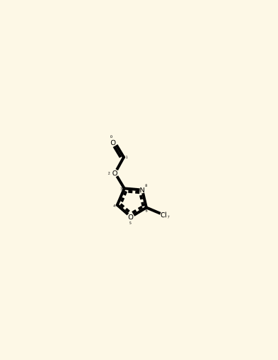 O=COc1coc(Cl)n1